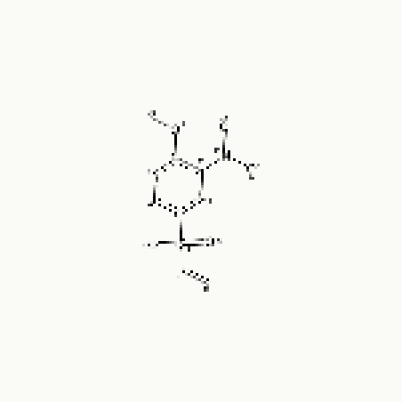 C=CS(=O)(=O)c1ccc(OC)c([N+](=O)[O-])c1